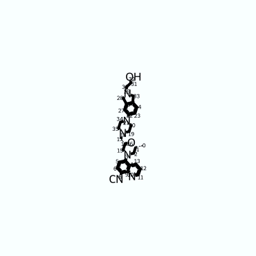 C[C@@H]1CN(c2ccc(C#N)c3ncccc23)C[C@H](CN2CCN(c3ccc4c(c3)CN(CCO)C4)CC2)O1